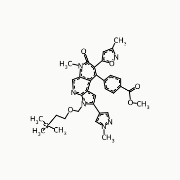 COC(=O)c1ccc(-c2c(-c3cc(C)no3)c(=O)n(C)c3cnc4c(cc(-c5cnn(C)c5)n4COCC[Si](C)(C)C)c23)cc1